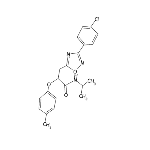 Cc1ccc(OC(Cc2nc(-c3ccc(Cl)cc3)no2)C(=O)NC(C)C)cc1